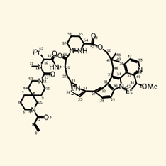 C=CC(=O)N1CCCC2(CCN(C(=O)N(C)[C@H](C(=O)N[C@H]3Cc4nc(cs4)-c4ccc5c(c4)c(c(-c4cccnc4[C@H](C)OC)n5CC)CC(C)(C)COC(=O)C4CCCN(N4)C3=O)C(C)C)CC2)C1